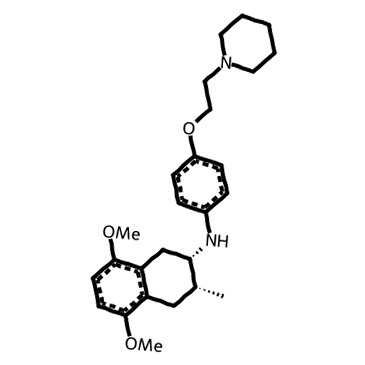 COc1ccc(OC)c2c1C[C@@H](C)[C@@H](Nc1ccc(OCCN3CCCCC3)cc1)C2